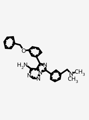 CN(C)Cc1cccc(-c2nc(-c3cccc(OCc4ccccc4)c3)c3c(N)ncnn23)c1